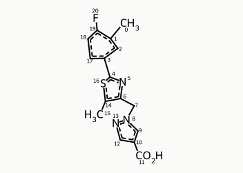 Cc1cc(-c2nc(Cn3cc(C(=O)O)cn3)c(C)s2)ccc1F